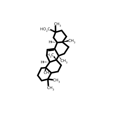 CC1(C(=O)O)CC[C@]2(C)CC[C@]3(C)C(=CC[C@@H]4[C@@]5(C)CCCC(C)(C)C5CC[C@]43C)[C@H]2C1